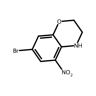 O=[N+]([O-])c1cc(Br)cc2c1NCCO2